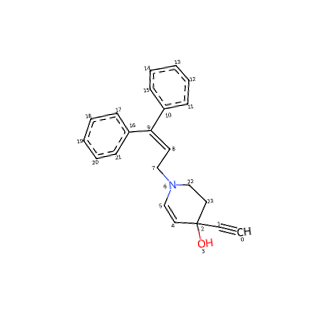 C#CC1(O)C=CN(CC=C(c2ccccc2)c2ccccc2)CC1